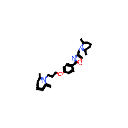 CC1CCCC(C)N1CCCOc1ccc(-c2nc(CN3C(C)CCCC3C)co2)cc1